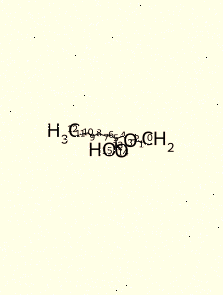 C=CCOCC(CCCCCCC)C(=O)O